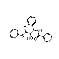 O=C(NC(c1ccccc1)C(O)C(=O)Sc1ccccc1)c1ccccc1